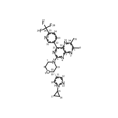 Cc1nc2nc(N3CCO[C@@H](c4cnn(C5CC5)c4)C3)nc(-c3ccc(C(F)(F)F)nc3)c2nc1C